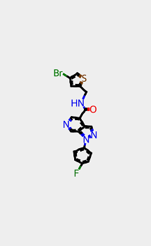 O=C(NCc1cc(Br)cs1)c1cncc2c1cnn2-c1ccc(F)cc1